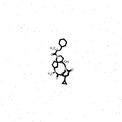 C[C@H](CC1CCCCC1)C(=O)N1CC[C@@]2(O)Cn3cc(c(C4CC4)cc3=O)C(=O)N(C)C3CCC2(C3)C1